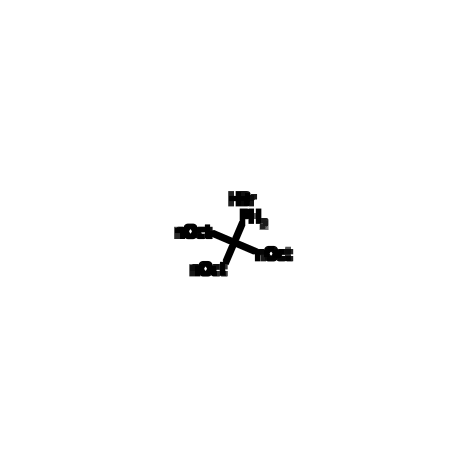 Br.CCCCCCCCC(P)(CCCCCCCC)CCCCCCCC